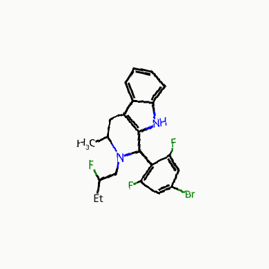 CCC(F)CN1C(C)Cc2c([nH]c3ccccc23)C1c1c(F)cc(Br)cc1F